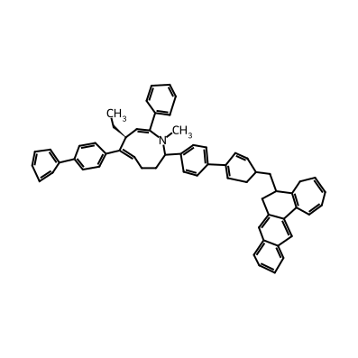 CC[C@H]1/C=C(/c2ccccc2)N(C)C(c2ccc(C3=CCC(CC4Cc5cc6ccccc6cc5C5=C4CC=CC=C5)C=C3)cc2)CC/C=C/1c1ccc(-c2ccccc2)cc1